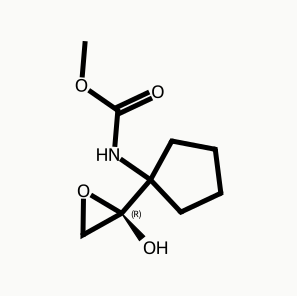 COC(=O)NC1([C@]2(O)CO2)CCCC1